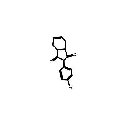 CC(=O)c1ccc(C2C(=O)C3CC=CCC3C2=O)cc1